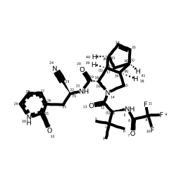 CC(C)(C)[C@H](NC(=O)C(F)(F)F)C(=O)N1C[C@H]2[C@@H]([C@H]1C(=O)N[C@H](C#N)Cc1ccc[nH]c1=O)[C@H]1C=C[C@@H]2C1